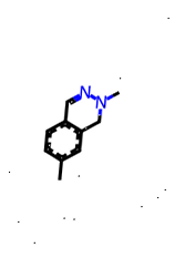 Cc1ccc2c(c1)CN(C)N=C2